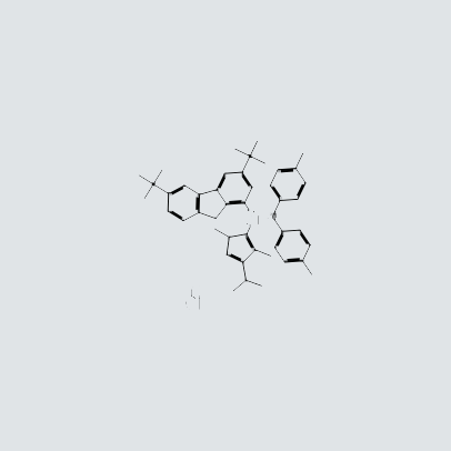 CC1=[C]([Zr+2](=[C](c2ccc(C)cc2)c2ccc(C)cc2)[c]2cc(C(C)(C)C)cc3c2Cc2ccc(C(C)(C)C)cc2-3)C(C)C=C1C(C)C.[Cl-].[Cl-]